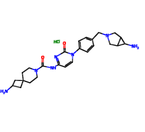 Cl.NC1CC2(CCN(C(=O)Nc3ccn(-c4ccc(CN5CC6C(N)C6C5)cc4)c(=O)n3)CC2)C1